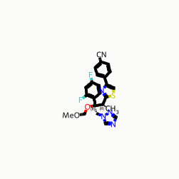 COCO[C@@](Cn1cncn1)(c1ccc(F)cc1F)[C@@H](C)c1nc(-c2ccc(C#N)cc2)cs1